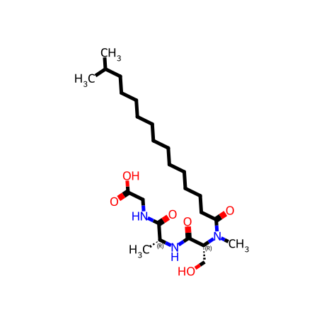 CC(C)CCCCCCCCCCCCC(=O)N(C)[C@H](CO)C(=O)N[C@H](C)C(=O)NCC(=O)O